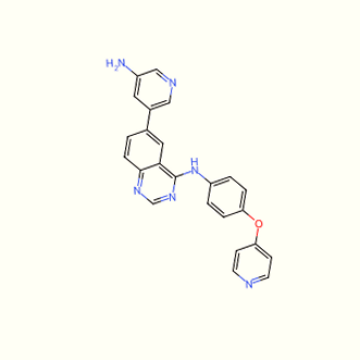 Nc1cncc(-c2ccc3ncnc(Nc4ccc(Oc5ccncc5)cc4)c3c2)c1